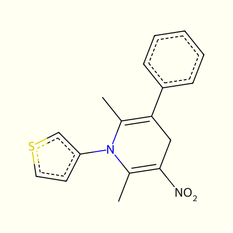 CC1=C(c2ccccc2)CC([N+](=O)[O-])=C(C)N1c1ccsc1